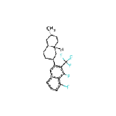 C[C@@H]1CC[C@@H]2CC(c3cc4cccc(F)c4c(F)c3C(F)(F)F)CCC2C1